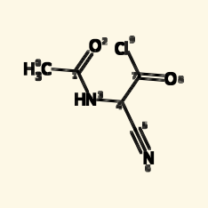 CC(=O)NC(C#N)C(=O)Cl